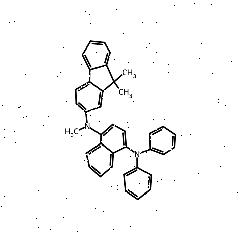 CN(c1ccc2c(c1)C(C)(C)c1ccccc1-2)c1ccc(N(c2ccccc2)c2ccccc2)c2ccccc12